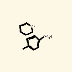 C1CCNCC1.Cc1ccc(S(=O)(=O)O)cc1